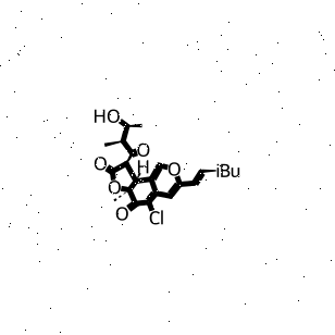 CC[C@H](C)/C=C/C1=CC2=C(Cl)C(=O)[C@@]3(C)OC(=O)[C@@H](C(=O)[C@@H](C)[C@H](C)O)[C@H]3C2=CO1